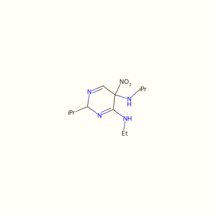 CCNC1=NC(C(C)C)N=CC1(NC(C)C)[N+](=O)[O-]